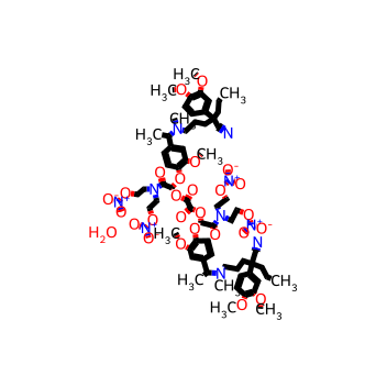 CCCC(C#N)(CCCN(C)C(C)c1ccc(OC(OC(=O)C(=O)OC(Oc2ccc(C(C)N(C)CCCC(C#N)(CCC)c3ccc(OC)c(OC)c3)cc2OC)C(=O)N(CCO[N+](=O)[O-])CCO[N+](=O)[O-])C(=O)N(CCO[N+](=O)[O-])CCO[N+](=O)[O-])c(OC)c1)c1ccc(OC)c(OC)c1.O